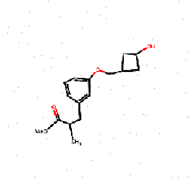 COC(=O)C(C)Cc1cccc(OCC2CC(O)C2)c1